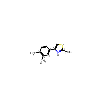 Cc1ccc(-c2csc(C(C)(C)C)n2)cc1C